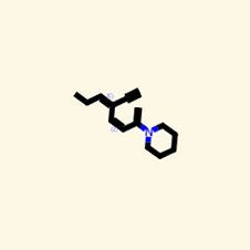 C#CC(/C=C\C(=C)N1CCCCC1)=C/CC